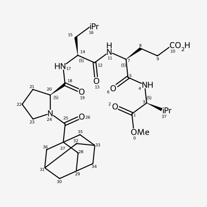 COC(=O)[C@@H](NC(=O)[C@H](CCC(=O)O)NC(=O)[C@H](CC(C)C)NC(=O)[C@@H]1CCCN1C(=O)C12CC3CC(CC(C3)C1)C2)C(C)C